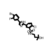 CC(C)(O)CCNS(=O)(=O)c1cc(-c2ncc(-c3ccc(Br)c(F)c3)[nH]2)ccc1Cl